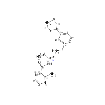 N=C/C(=C\NCc1cccc(C2CCNCC2)c1)NC(=O)c1nccnc1N